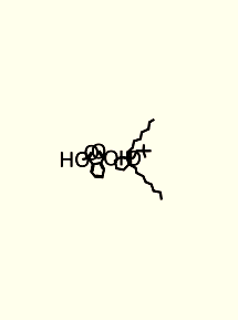 CCCCCCCCC1CCCCC1(CCCCCCCC)OCC(C)(C)C.O=C(O)c1ccccc1C(=O)O